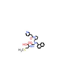 CSCCC(NC(=O)CN(Cc1cccc2ccccc12)C[C@@H]1CCCN1C(=O)Cc1cccnc1)C(=O)O